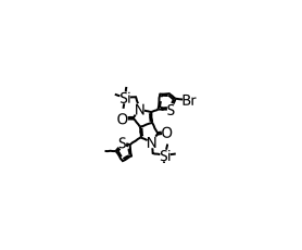 Cc1ccc(C2=C3C(=O)N(C[Si](C)(C)C)C(c4ccc(Br)s4)=C3C(=O)N2C[Si](C)(C)C)s1